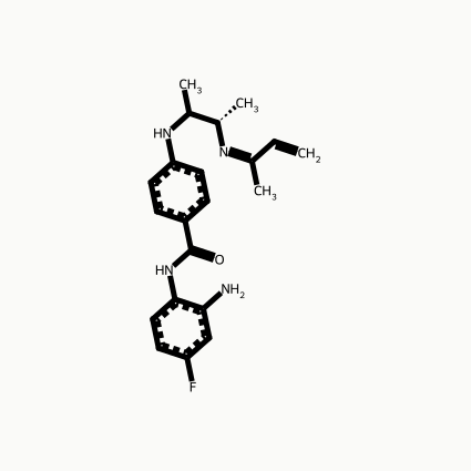 C=C/C(C)=N\[C@@H](C)C(C)Nc1ccc(C(=O)Nc2ccc(F)cc2N)cc1